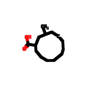 CC1CCCCCCCCCC(C(=O)O)C1